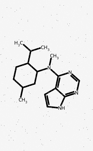 CC1CCC(C(C)C)C(N(C)c2ncnc3[nH]ccc23)C1